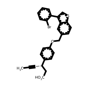 CC#C[C@@H](CC(=O)O)c1ccc(OCc2ccc3scc(-c4ccccc4Br)c3c2)cc1